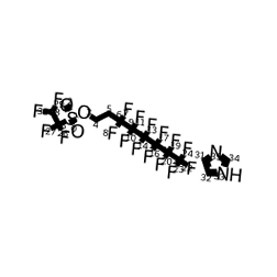 O=S(=O)(OCCC(F)(F)C(F)(F)C(F)(F)C(F)(F)C(F)(F)C(F)(F)F)C(F)(F)C(F)F.c1c[nH]cn1